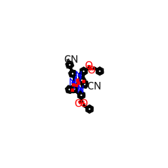 N#Cc1ccc(-c2ccc(-c3nc(-c4ccccc4)nc(-c4ccc(C#N)cc4-n4c5ccccc5c5cc(C(=O)OCc6ccccc6)ccc54)n3)c(-n3c4ccccc4c4cc(C(=O)OCc5ccccc5)ccc43)c2)cc1